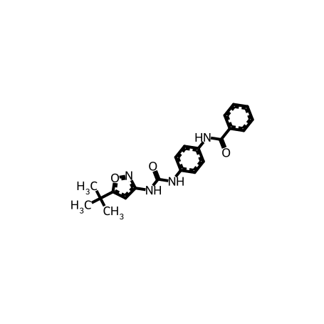 CC(C)(C)c1cc(NC(=O)Nc2ccc(NC(=O)c3ccccc3)cc2)no1